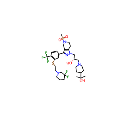 CC(C)(O)C1CCN(C[C@H](O)Cn2nc(-c3ccc(C(F)(F)F)c(SCCN4CCCC(F)(F)C4)c3)c3c2CCN(S(C)(=O)=O)C3)CC1